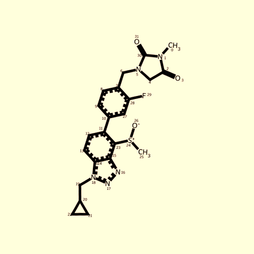 CN1C(=O)CN(Cc2ccc(-c3ccc4c(nnn4CC4CC4)c3[S+](C)[O-])cc2F)C1=O